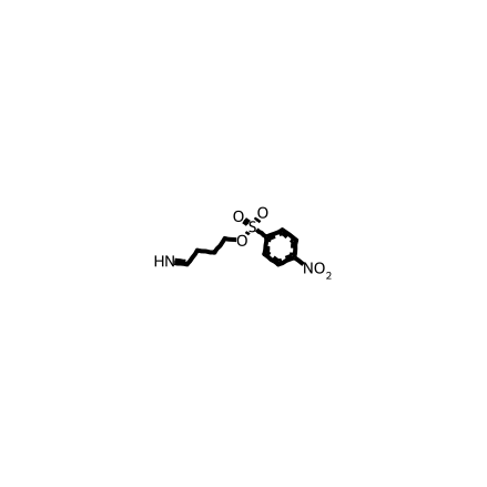 N=CCCCOS(=O)(=O)c1ccc([N+](=O)[O-])cc1